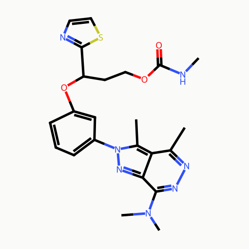 CNC(=O)OCCC(Oc1cccc(-n2nc3c(N(C)C)nnc(C)c3c2C)c1)c1nccs1